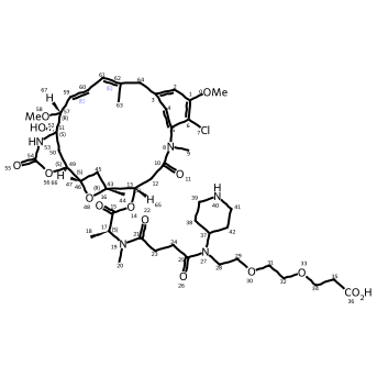 COc1cc2cc(c1Cl)N(C)C(=O)C[C@H](OC(=O)[C@H](C)N(C)C(=O)CCC(=O)N(CCOCCOCCC(=O)O)C1CCNCC1)[C@@]1(C)C[C@](C)(O1)[C@@H]1C[C@@](O)(NC(=O)O1)[C@H](OC)/C=C/C=C(\C)C2